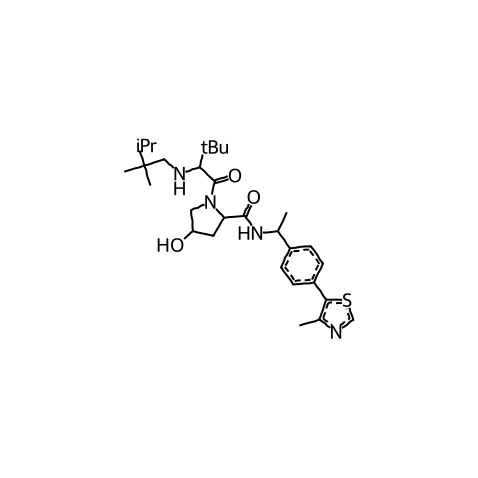 Cc1ncsc1-c1ccc(C(C)NC(=O)C2CC(O)CN2C(=O)C(NCC(C)(C)C(C)C)C(C)(C)C)cc1